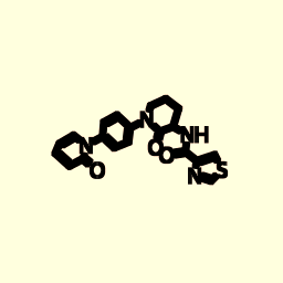 O=C(NC1CCCN(c2ccc(-n3ccccc3=O)cc2)C1=O)c1cscn1